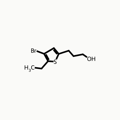 CCc1sc(CCCO)cc1Br